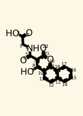 O=C(O)CNC(=O)c1c(O)c2ccc3ccccc3c2oc1=O